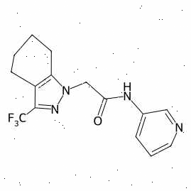 O=C(Cn1nc(C(F)(F)F)c2c1CCCC2)Nc1cccnc1